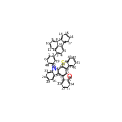 c1cc(-c2ccc3c4c(cccc24)-c2ccccc2-3)cc(-n2c3ccccc3c3c4c5ccccc5oc4c4c5ccccc5sc4c32)c1